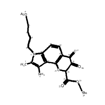 CC(=O)OCCCCn1c(C)c(N)c2c3c(ccc21)C(=O)C(=O)C(C(=O)OC(C)(C)C)O3